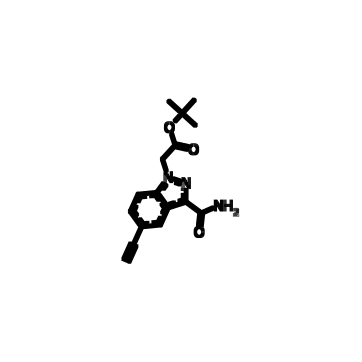 C#Cc1ccc2c(c1)c(C(N)=O)nn2CC(=O)OC(C)(C)C